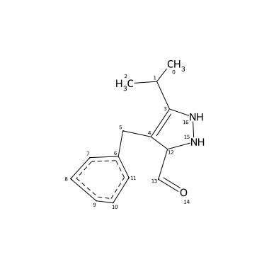 CC(C)C1=C(Cc2ccccc2)C(C=O)NN1